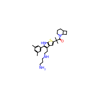 Cc1cc(C)cc(-c2[nH]c3sc(C(C)(C)C(=O)N4CCCC5CCC54)cc3c2CCNCCCN)c1